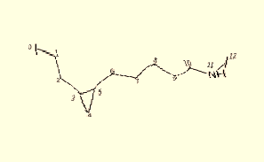 ICCC1CC1CCCCCNI